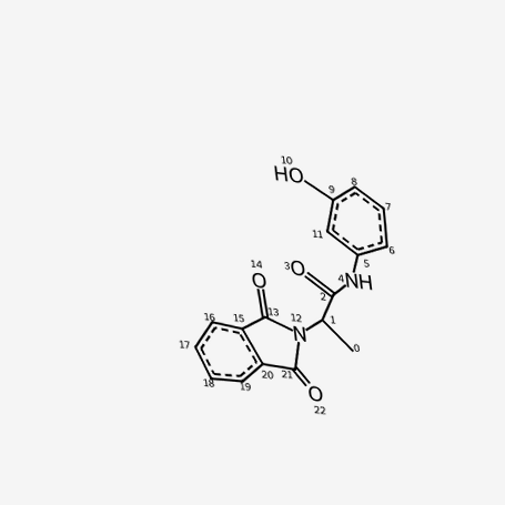 CC(C(=O)Nc1cccc(O)c1)N1C(=O)c2ccccc2C1=O